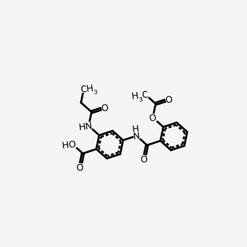 CCC(=O)Nc1cc(NC(=O)c2ccccc2OC(C)=O)ccc1C(=O)O